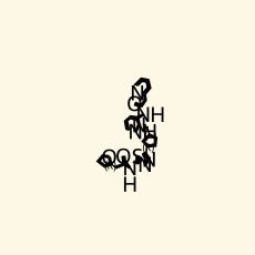 O=C(Cc1ccccn1)NC1=CC=CNN1C[C@H]1CC[C@@H](c2nnc(NC(=O)C[C@H]3CCCO3)s2)C1